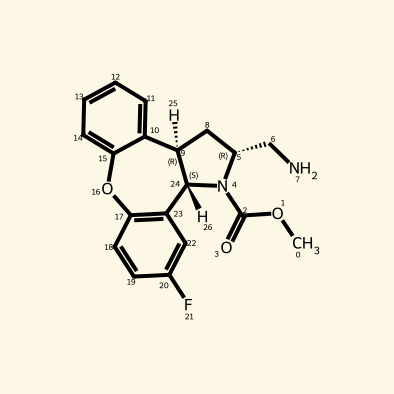 COC(=O)N1[C@@H](CN)C[C@@H]2c3ccccc3Oc3ccc(F)cc3[C@H]21